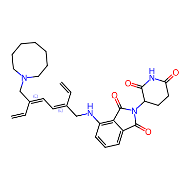 C=C/C(=C\C=C(/C=C)CN1CCCCCCC1)CNc1cccc2c1C(=O)N(C1CCC(=O)NC1=O)C2=O